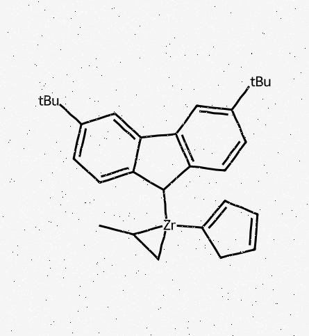 C[CH]1[CH2][Zr]1([C]1=CC=CC1)[CH]1c2ccc(C(C)(C)C)cc2-c2cc(C(C)(C)C)ccc21